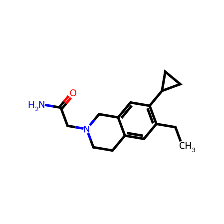 CCc1cc2c(cc1C1CC1)CN(CC(N)=O)CC2